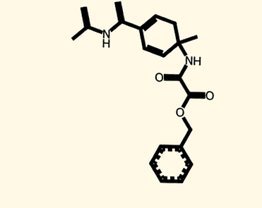 C=C(C)NC(=C)C1=CCC(C)(NC(=O)C(=O)OCc2ccccc2)C=C1